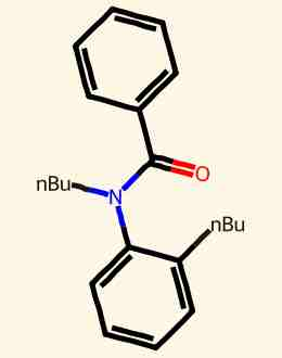 CCCCc1ccccc1N(CCCC)C(=O)c1ccccc1